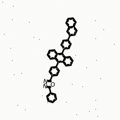 c1ccc(-c2nnc(-c3ccc(-c4c5ccccc5c(-c5ccc(-c6ccc7ccccc7c6)cc5)c5ccccc45)cc3)o2)cc1